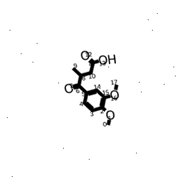 COc1ccc(C(=O)C(C)CC(=O)O)cc1OC